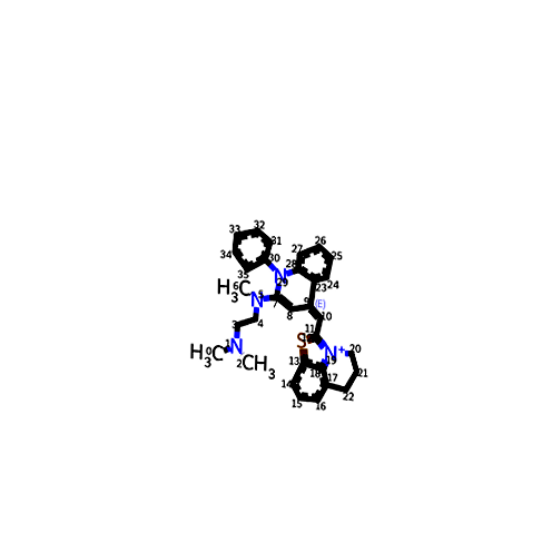 CN(C)CCN(C)C1=C/C(=C\c2sc3cccc4c3[n+]2CCC4)c2ccccc2N1c1ccccc1